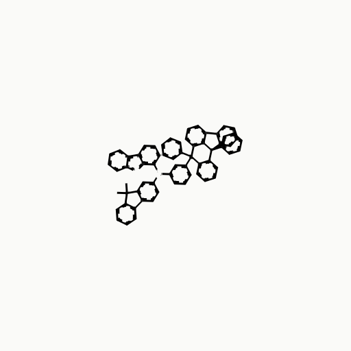 CC1(C)c2ccccc2-c2ccc(N(c3cccc(C4(c5ccccc5)c5ccccc5C5(c6ccccc6)c6ccccc6-c6cccc4c65)c3)c3cccc4c3sc3ccccc34)cc21